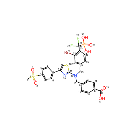 CS(=O)(=O)c1ccc(-c2csc(N(Cc3ccc(C(=O)O)cc3)Cc3ccc(C(F)(F)P(=O)(O)O)c(Br)c3)n2)cc1